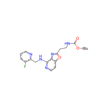 CC(C)(C)OC(=O)NCCc1nc2c(NCc3ncccc3F)nccc2o1